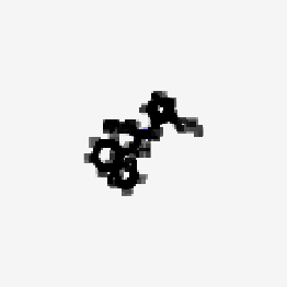 CS/C(=N\c1cscc1C)NC1CCCCC12OCCO2